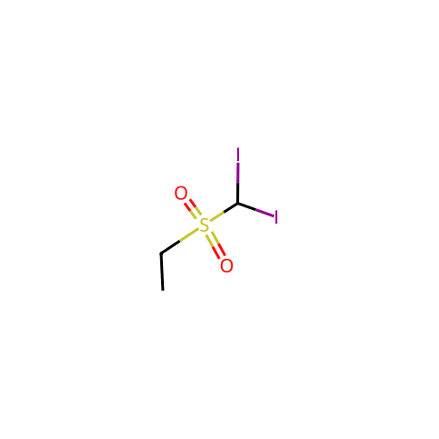 CCS(=O)(=O)C(I)I